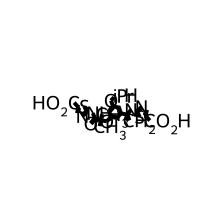 C=C(Nc1ncc(C(=O)O)s1)c1cc(OC(C)C)cc(OC(C)(C)C(=O)Nc2ncc(C(=O)O)s2)c1